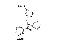 COc1cccc(Cn2c(-c3cccc(OC)n3)nc3ccccc32)n1